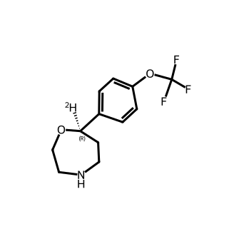 [2H][C@]1(c2ccc(OC(F)(F)F)cc2)CCNCCO1